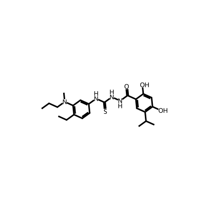 CCCN(C)c1cc(NC(=S)NNC(=O)c2cc(C(C)C)c(O)cc2O)ccc1CC